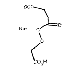 O=C([O-])CC(=O)OOCC(=O)O.[Na+]